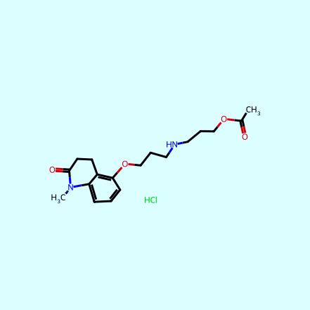 CC(=O)OCCCNCCCOc1cccc2c1CCC(=O)N2C.Cl